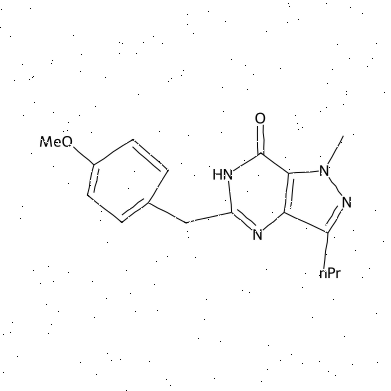 CCCc1nn(C)c2c(=O)[nH]c(Cc3ccc(OC)cc3)nc12